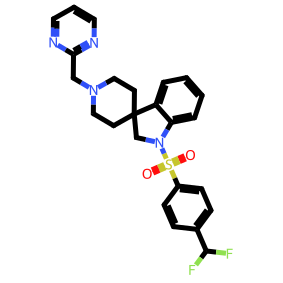 O=S(=O)(c1ccc(C(F)F)cc1)N1CC2(CCN(Cc3ncccn3)CC2)c2ccccc21